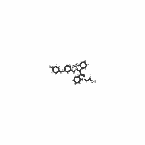 O=C(O)Cn1cc(C2c3ccccc3S(=O)(=O)N2Cc2cccc(Oc3ccc(F)cc3)c2)c2ccccc21